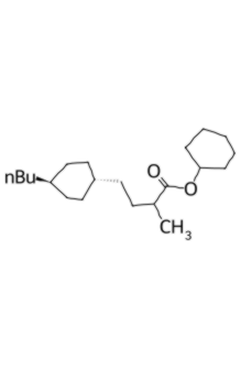 CCCC[C@H]1CC[C@H](CCC(C)C(=O)OC2CCCCC2)CC1